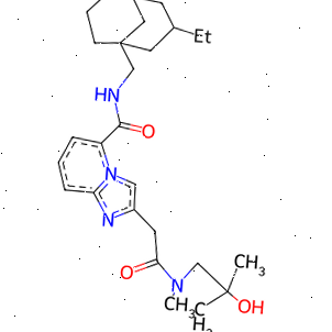 CCC1CC2CCCC(CNC(=O)c3cccc4nc(CC(=O)N(C)CC(C)(C)O)cn34)(C1)C2